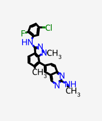 CNc1ncc2cc(-c3c(C)ccc4c(Nc5cc(Cl)ccc5F)nn(C)c34)ccc2n1